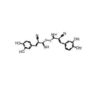 N#C/C(=C\c1ccc(O)c(O)c1)C(=N)SSC(=N)/C(C#N)=C/c1ccc(O)c(O)c1